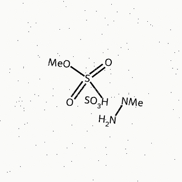 CNN.COS(=O)(=O)S(=O)(=O)O